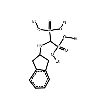 CCOP(=O)(OCC)C(NC1Cc2ccccc2C1)P(=O)(OCC)OCC